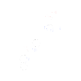 CN(C)c1nc(CCc2ccc(NC(=O)c3ccc4ccccc4n3)cc2)ncc1CC(=O)O